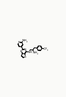 Nc1cc(-c2nc(NCC(N)Cc3ccc(C(F)(F)F)cc3)c3sccc3n2)ccn1